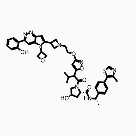 Cc1ncsc1-c1ccc([C@H](C)NC(=O)[C@@H]2C[C@@H](O)CN2C(=O)C(c2cc(OCCN3CC(c4cc5nnc(-c6ccccc6O)cc5n4C4COC4)C3)no2)C(C)C)cc1